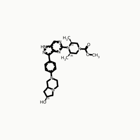 COC(=O)N1C[C@@H](C)N(c2ncc3[nH]nc(-c4ccc(N5CCN6C[C@@H](O)CC6C5)cc4)c3n2)[C@@H](C)C1